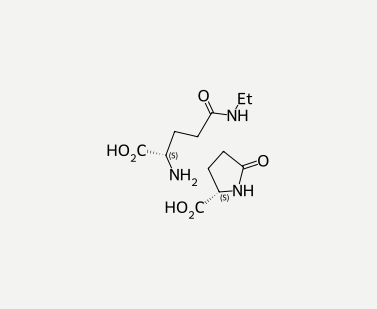 CCNC(=O)CC[C@H](N)C(=O)O.O=C1CC[C@@H](C(=O)O)N1